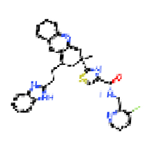 CC1(c2nc(C(=O)NCc3ncccc3F)cs2)C=c2nc3ccccc3cc2=C(CCc2nc3ccccc3[nH]2)C1